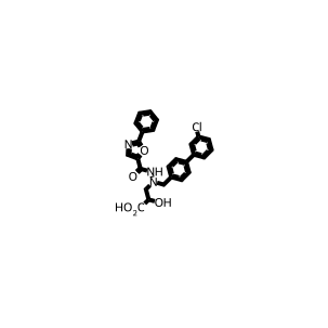 O=C(NN(Cc1ccc(-c2cccc(Cl)c2)cc1)CC(O)C(=O)O)c1cnc(-c2ccccc2)o1